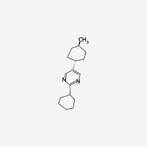 C[C@H]1CC[C@H](c2cnc(C3CCCCC3)nc2)CC1